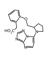 O=C(O)Cc1ccccc1OCC1CCCN1c1ccnc2ncnn12